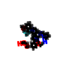 CCOc1ccccc1-c1ccc2c(n1)CN(C[C@H]1CCCN1)CC21CCN(c2cccc(OC)c2C(F)(F)F)CC1.O=CO